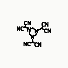 N#CC(C#N)N1CN(C(C#N)C#N)CN(C(C#N)C#N)C1